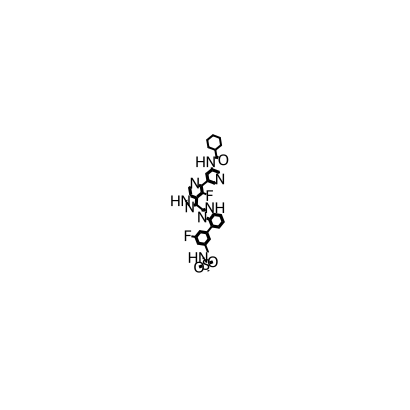 CS(=O)(=O)NCc1cc(F)cc(-c2cccc3[nH]c(-c4n[nH]c5cnc(-c6cncc(NC(=O)C7CCCCC7)c6)c(F)c45)nc23)c1